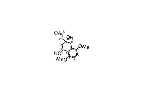 COc1ccc(OC)c2c1C[C@](O)(COC(C)=O)C[C@@H]2O